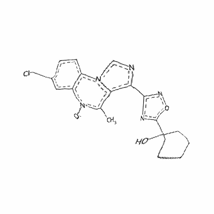 Cc1c2c(-c3noc(C4(O)CCCC4)n3)ncn2c2ccc(Cl)cc2[n+]1[O-]